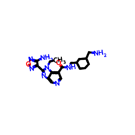 CCn1c(-c2nonc2N)nc2cncc(C(=O)NCC3CCCC(CN)C3)c21